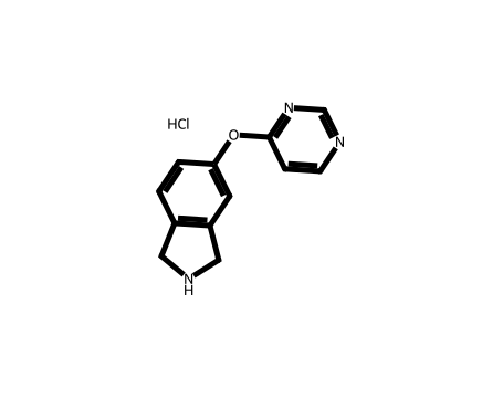 Cl.c1cc(Oc2ccc3c(c2)CNC3)ncn1